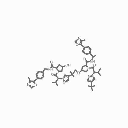 Cc1ncoc1-c1ccc(CNC(=O)C2CC(O)CN2C(=O)C(C(C)C)n2cc(C(C)(C)COC3CC(C(=O)NC(C)c4ccc(-c5ocnc5C)cc4)N(C(=O)C(C(C)C)n4cc(C(C)(C)C)cn4)C3)cn2)cc1